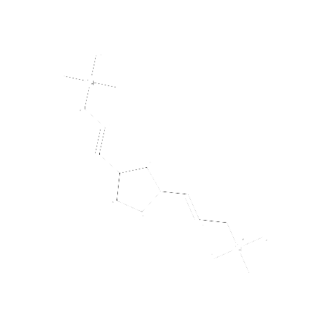 C[Si](C)(C)CC=CC1CCC(C=CC[Si](C)(C)C)C1